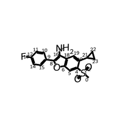 CS(=O)(=O)c1cc2oc(-c3ccc(F)cc3)c(N)c2cc1C1CC1